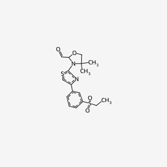 CCS(=O)(=O)c1cccc(-c2csc(N3C(C=O)OCC3(C)C)n2)c1